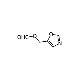 O=COCc1cnco1